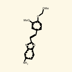 COCOc1ccc(C=Cc2nc3cc(N)ccc3s2)cc1OC